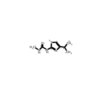 CNC(=O)Nc1nc(C(C)C)cs1